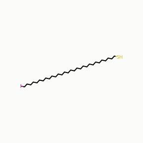 SCCCCCCCCCCCCCCCCCCCCCCCCCCCCCCI